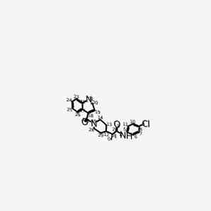 C[C@H](C(=O)Nc1ccc(Cl)cc1)C1CCN(C(=O)c2ccnc3ccccc23)CC1